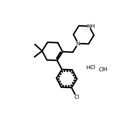 CC1(C)CCC(CN2CCNCC2)=C(c2ccc(Cl)cc2)C1.Cl.Cl